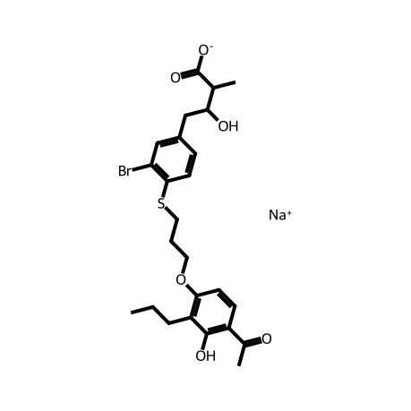 CCCc1c(OCCCSc2ccc(CC(O)C(C)C(=O)[O-])cc2Br)ccc(C(C)=O)c1O.[Na+]